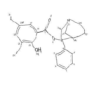 O=C(OC1(c2ccccc2)CN2CCC1C2)c1cc(I)cc(I)c1O